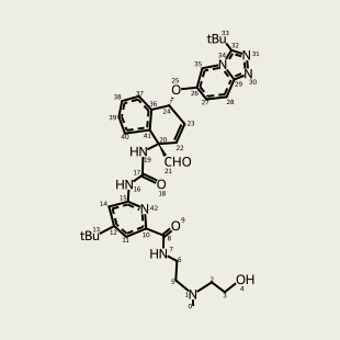 CN(CCO)CCNC(=O)c1cc(C(C)(C)C)cc(NC(=O)N[C@@]2(C=O)C=C[C@@H](Oc3ccc4nnc(C(C)(C)C)n4c3)c3ccccc32)n1